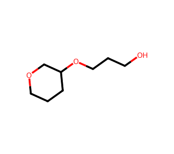 OCCCOC1CCCOC1